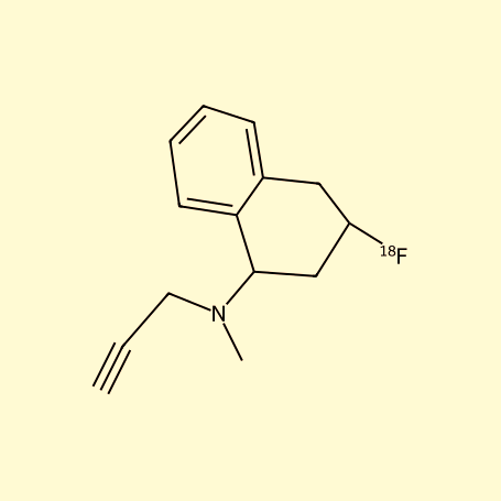 C#CCN(C)C1CC([18F])Cc2ccccc21